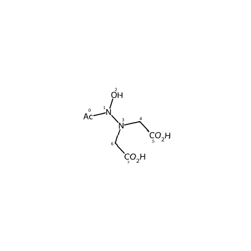 CC(=O)N(O)N(CC(=O)O)CC(=O)O